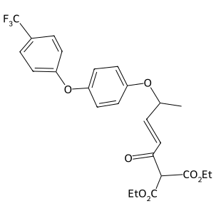 CCOC(=O)C(C(=O)C=CC(C)Oc1ccc(Oc2ccc(C(F)(F)F)cc2)cc1)C(=O)OCC